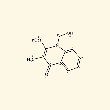 CCCCCCCCc1c(C)c(=O)c2ccccc2n1CO